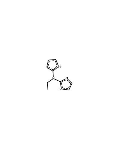 CCN(c1ncc[se]1)c1ncc[se]1